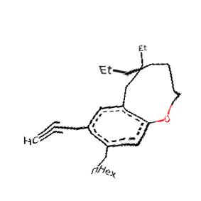 C#Cc1cc2c(cc1CCCCCC)OCCC2(CC)CC